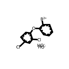 [B+2]c1ccccc1Oc1ccc(Cl)cc1Cl.[OH-].[OH-]